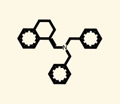 C(=C1/CCCc2ccccc21)/N(Cc1ccccc1)Cc1ccccc1